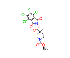 CC(C)(C)OC(=O)N1CCC(C)(C(=O)ON2C(=O)c3c(Cl)c(Cl)c(Cl)c(Cl)c3C2=O)CC1